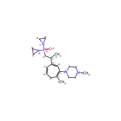 CC1=C(N2CCN(C)CC2)C=C(C(C)CP(=O)(N2CC2)N2CC2)C=CC1